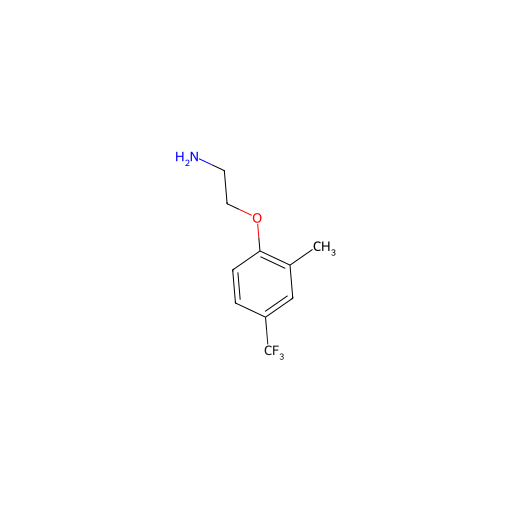 Cc1cc(C(F)(F)F)ccc1OCCN